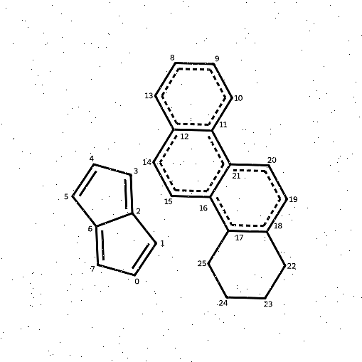 C1=CC2=CC=CC2=C1.c1ccc2c(c1)ccc1c3c(ccc12)CCCC3